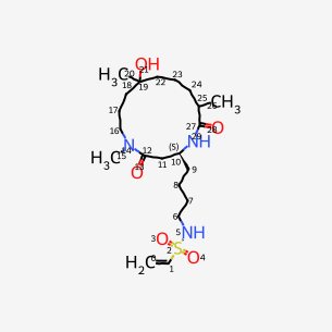 C=CS(=O)(=O)NCCCC[C@H]1CC(=O)N(C)CCCC(C)(O)CCCC(C)C(=O)N1